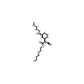 CCCCOCCOC(=O)/C(C#N)=C1\C=C(NCCCOC)CCC1